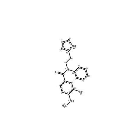 CNc1ccc(C(=O)N(CCc2nnn[nH]2)c2ccccc2)cc1N